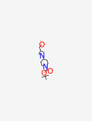 COCC1CN(C2CCN(C(=O)OC(C)(C)C)CC2)C1